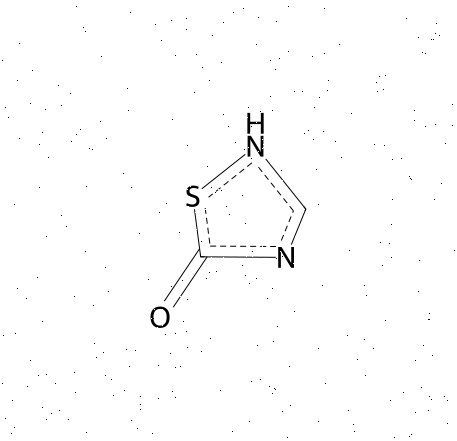 O=c1nc[nH]s1